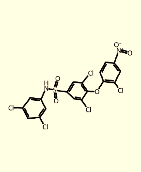 O=[N+]([O-])c1ccc(Oc2c(Cl)cc(S(=O)(=O)Nc3cc(Cl)cc(Cl)c3)cc2Cl)c(Cl)c1